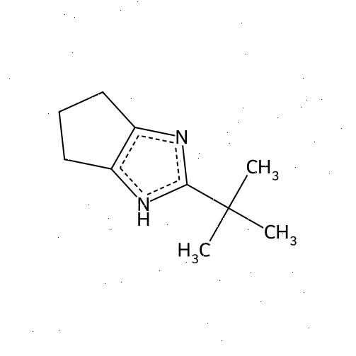 CC(C)(C)c1nc2c([nH]1)CCC2